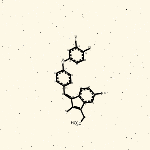 CC1=C(CC(=O)O)c2cc(F)ccc2/C1=C\c1ccc(Oc2ccc(C)c(F)c2)cc1